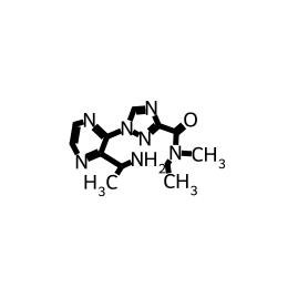 CCN(C)C(=O)c1ncn(-c2nccnc2C(C)N)n1